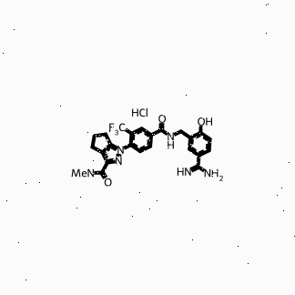 CNC(=O)c1nn(-c2ccc(C(=O)NCc3cc(C(=N)N)ccc3O)cc2C(F)(F)F)c2c1CCC2.Cl